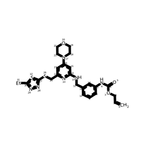 C=CCOC(=O)Nc1cccc(CNc2cc(N3CCOCC3)cc(CSc3nnc(CC)s3)n2)c1